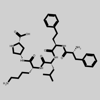 CC(C)C[C@@H](NC(=O)[C@@H](CCc1ccccc1)NC(=O)[C@H](N)Cc1ccccc1)C(=O)N[C@H](CCCCN)C(=O)N[C@@H]1CN[C@H](C(=O)O)C1